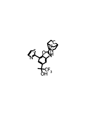 CC(O)(c1cc(-c2nccs2)c2oc(N3CC4CCC3CNC4)nc2c1)C(F)(F)F